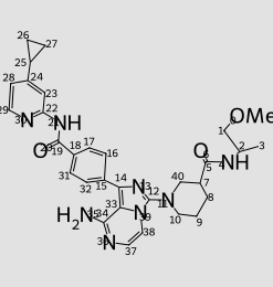 COCC(C)NC(=O)C1CCCN(c2nc(-c3ccc(C(=O)Nc4cc(C5CC5)ccn4)cc3)c3c(N)nccn23)C1